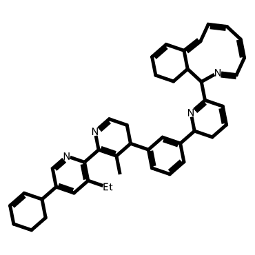 CCc1cc(C2C=CCCC2)cnc1C1=C(C)C(c2cccc(C3CC=CC(C4/N=C/C=C\C=C/C=C5\C=CCCC54)=N3)c2)CC=N1